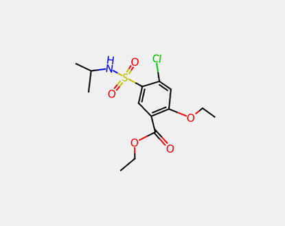 CCOC(=O)c1cc(S(=O)(=O)NC(C)C)c(Cl)cc1OCC